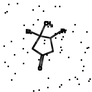 CCC1(C)CC(=O)CC1C(C)C